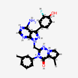 Cc1cccc(-n2c(Cn3nc(-c4ccc(O)c(F)c4)c4c(N)ncnc43)nn3ccc(C)c3c2=O)c1